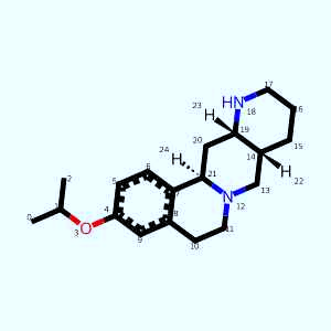 CC(C)Oc1ccc2c(c1)CCN1C[C@H]3CCCN[C@H]3C[C@H]21